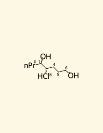 CCCC(O)CCCCO.Cl